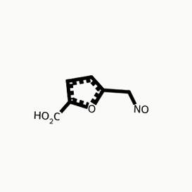 O=NCc1ccc(C(=O)O)o1